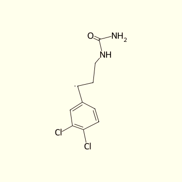 NC(=O)NCC[CH]c1ccc(Cl)c(Cl)c1